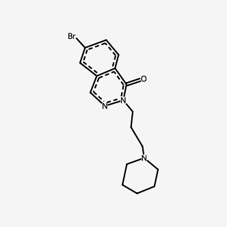 O=c1c2ccc(Br)cc2cnn1CCCN1CCCCC1